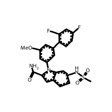 COc1cc(-c2ccc(F)cc2F)cc(-n2c(C(N)=O)cc3ccc(NS(C)(=O)=O)cc32)c1